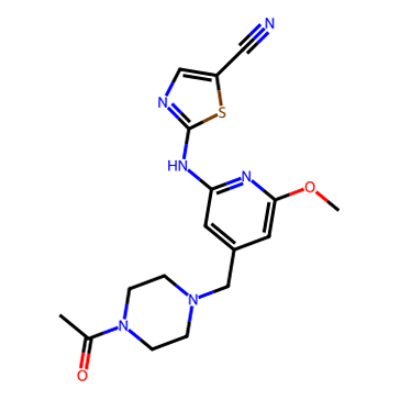 COc1cc(CN2CCN(C(C)=O)CC2)cc(Nc2ncc(C#N)s2)n1